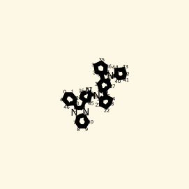 c1ccc(-c2nc3ccccc3nc2-c2ccnc(-n3c4ccccc4c4cc5c(cc43)c3ccccc3n5-c3ccccc3)c2)cc1